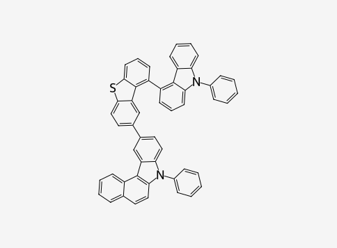 c1ccc(-n2c3ccccc3c3c(-c4cccc5sc6ccc(-c7ccc8c(c7)c7c9ccccc9ccc7n8-c7ccccc7)cc6c45)cccc32)cc1